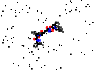 CC(C)CNC(=O)[C@@H](CC(C)C)ONCC(=O)CCCC(=O)NO[C@H](CC(C)C)C(=O)NCC(C)C